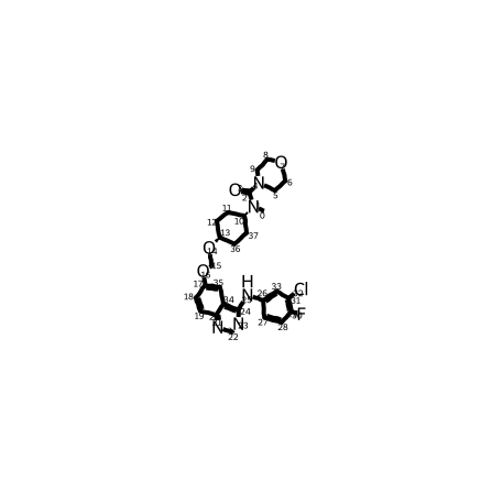 CN(C(=O)N1CCOCC1)[C@H]1CC[C@H](OCOc2ccc3ncnc(Nc4ccc(F)c(Cl)c4)c3c2)CC1